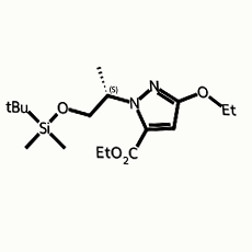 CCOC(=O)c1cc(OCC)nn1[C@@H](C)CO[Si](C)(C)C(C)(C)C